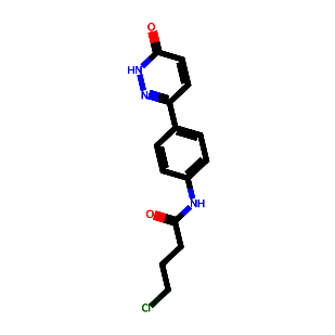 O=C(CCCCl)Nc1ccc(-c2ccc(=O)[nH]n2)cc1